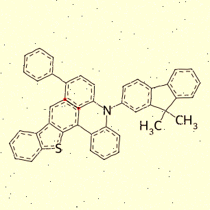 CC1(C)c2ccccc2-c2ccc(N(c3ccc(-c4ccccc4)cc3)c3ccccc3-c3cccc4c3sc3ccccc34)cc21